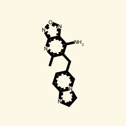 Cc1nc2nonc2c(N)c1Cc1ccc2nccn2c1